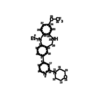 CCN1c2ccc(-c3ccnc(N4CCOCC4)c3)cc2CNc2cc(OC(F)(F)F)ccc21